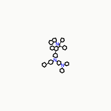 c1ccc(-c2ccc(N(c3ccc(-c4cc5c(-c6ccccc6)c(-c6ccccc6)n(-c6cccc7ccccc67)c5c5ccccc45)cc3)c3ccc(N(c4ccccc4)c4ccccc4)cc3)cc2)cc1